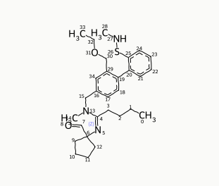 CCCC/C(=N/C1(C=O)CCCC1)N(C)Cc1ccc(-c2ccccc2SNC)c(COCC)c1